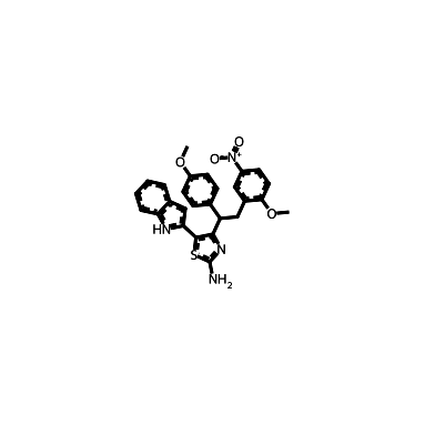 COc1ccc(C(Cc2cc([N+](=O)[O-])ccc2OC)c2nc(N)sc2-c2cc3ccccc3[nH]2)cc1